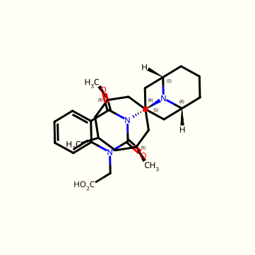 CC1C[C@@H](C)C[C@@H](N2[C@@H]3CCC[C@H]2C[C@@H](n2c(=O)c4ccccc4n(CC(=O)O)c2=O)C3)C[C@@H](C)C1